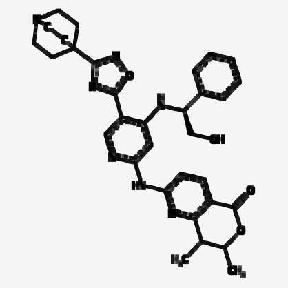 CC1OC(=O)c2ccc(Nc3cc(N[C@H](CO)c4ccccc4)c(-c4nc(C56CCN(CC5)CC6)no4)cn3)nc2C1C